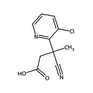 CC(C#N)(CC(=O)O)c1ncccc1Cl